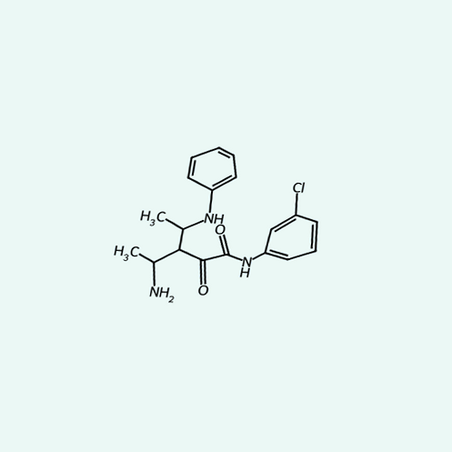 CC(N)C(C(=O)C(=O)Nc1cccc(Cl)c1)C(C)Nc1ccccc1